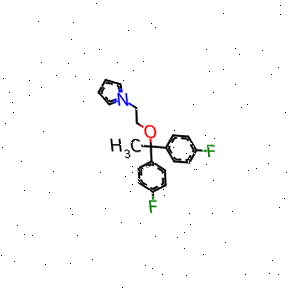 CC(OCCn1cccc1)(c1ccc(F)cc1)c1ccc(F)cc1